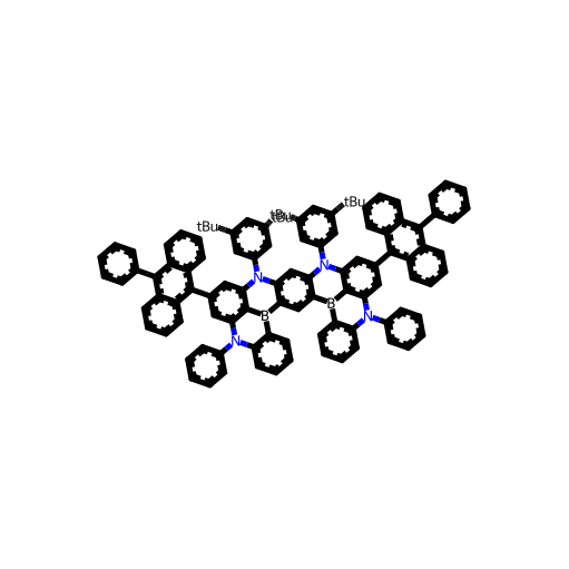 CC(C)(C)c1cc(N2c3cc4c(cc3B3c5ccccc5N(c5ccccc5)c5cc(-c6c7ccccc7c(-c7ccccc7)c7ccccc67)cc2c53)B2c3ccccc3N(c3ccccc3)c3cc(-c5c6ccccc6c(-c6ccccc6)c6ccccc56)cc(c32)N4c2cc(C(C)(C)C)cc(C(C)(C)C)c2)cc(C(C)(C)C)c1